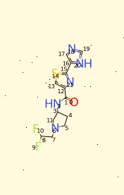 O=C(NC1CCN(CC(F)F)C1)c1csc(-c2cnc[nH]2)n1